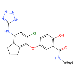 CCCCCCCNC(=O)c1cc(Oc2c(Cl)cc(Nc3nnn[nH]3)c3c2CCC3)ccc1O